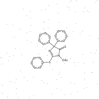 CC(=O)ON1C(=S)C(c2ccccc2)(c2ccccc2)N=C1Sc1ccccc1